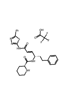 CC(C)c1nnc(NC(=O)C=C[C@H](CCc2ccccc2)NC(=O)[C@@H]2CCCCN2)s1.O=C(O)C(F)(F)F